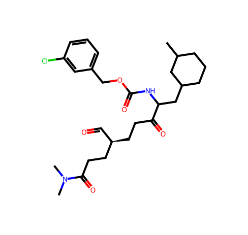 CC1CCCC(CC(NC(=O)OCc2cccc(Cl)c2)C(=O)CC[C@H](C=O)CCC(=O)N(C)C)C1